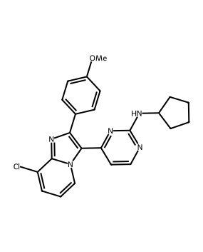 COc1ccc(-c2nc3c(Cl)cccn3c2-c2ccnc(NC3CCCC3)n2)cc1